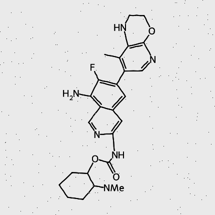 CNC1CCCCC1OC(=O)Nc1cc2cc(-c3cnc4c(c3C)NCCO4)c(F)c(N)c2cn1